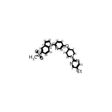 CCc1cnc(N2CCC(Oc3ccc(-n4ccc5cc(S(C)(=O)=O)ccc54)nc3)CC2)nc1